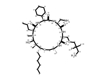 CCCCCC[C@H]1OC[C@@H](C)NC(=O)[C@H](COCC(F)(F)CN)NC(=O)[C@H](CN)NC(=O)[C@H](C2CCCCC2)NC(=O)[C@H](CCC)N(C)C(O)[C@@H]1C